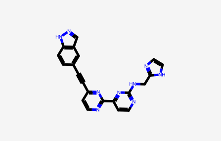 C(#Cc1ccnc(-c2ccnc(NCc3ncc[nH]3)n2)n1)c1ccc2[nH]ncc2c1